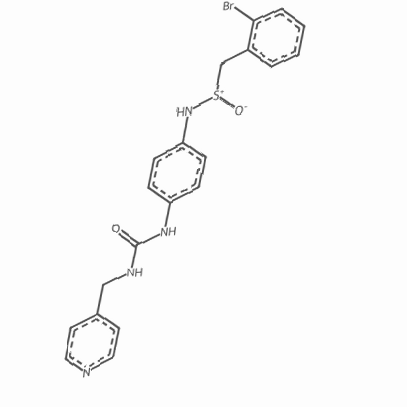 O=C(NCc1ccncc1)Nc1ccc(N[S+]([O-])Cc2ccccc2Br)cc1